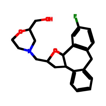 OCC1CN(CC2CC3c4ccccc4Cc4ccc(F)cc4C3O2)CCO1